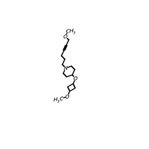 COCC#CCCCN1CCC(OC2CC(OC)C2)CC1